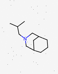 CC(C)CN1CC2CCCC(C2)C1